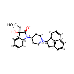 O=C(O)CC1(O)C(=O)N(C2CCN(C3Cc4cccc5cccc3c45)CC2)c2ccccc21